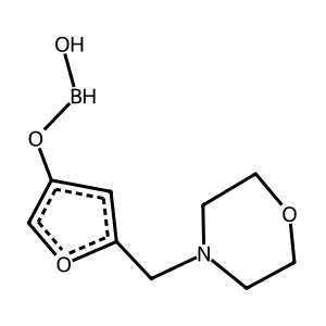 OBOc1coc(CN2CCOCC2)c1